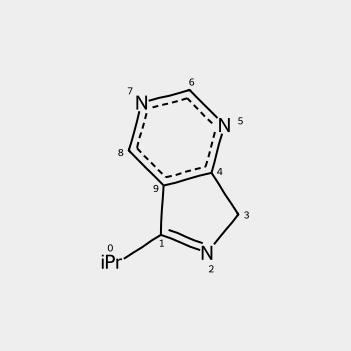 CC(C)C1=NCc2ncncc21